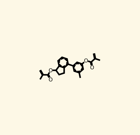 C=C(C)C(=O)Oc1cc(C)cc(-c2cccc3c2CCC3OC(=O)C(=C)C)c1